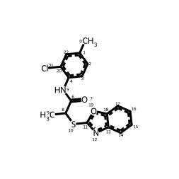 Cc1ccc(NC(=O)C(C)Sc2nc3ccccc3o2)c(Cl)c1